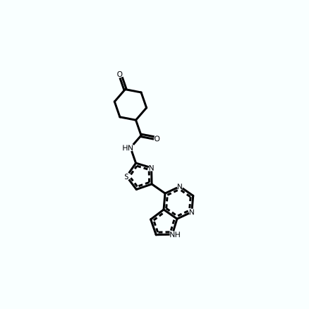 O=C1CCC(C(=O)Nc2nc(-c3ncnc4[nH]ccc34)cs2)CC1